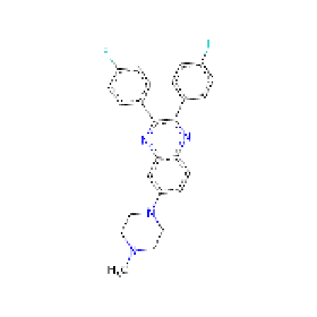 CN1CCN(c2ccc3nc(-c4ccc(F)cc4)c(-c4ccc(F)cc4)nc3c2)CC1